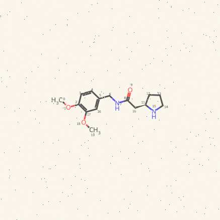 COc1ccc(CNC(=O)C[C@H]2CCCN2)cc1OC